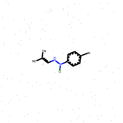 CC(C)c1ccc(N(Cl)NC=C(C#N)C#N)cc1